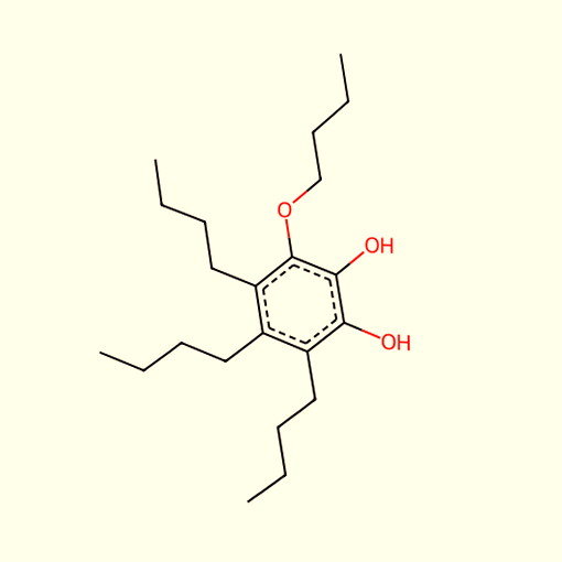 CCCCOc1c(O)c(O)c(CCCC)c(CCCC)c1CCCC